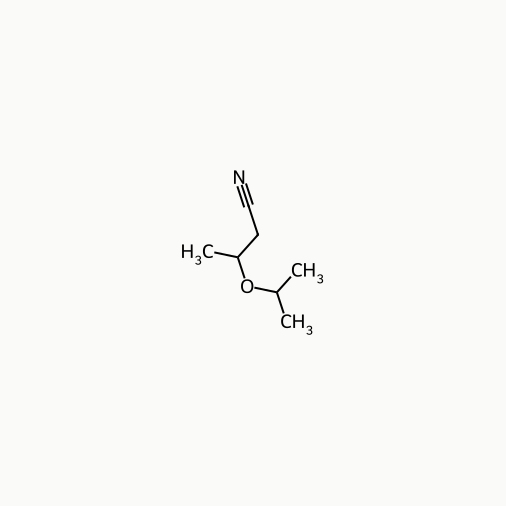 CC(C)OC(C)CC#N